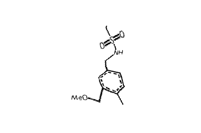 COCc1cc(CNS(C)(=O)=O)ccc1C